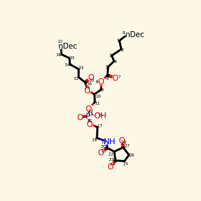 CCCCCCCCCCCCCCCC(=O)OCC(CO[P+]([O-])(O)OCCNC(=O)C1C(=O)CCC1=O)OC(=O)CCCCCCCCCCCCCCC